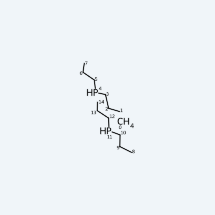 C.CCCPCCC.CCCPCCC